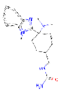 CN(C)C1(c2nc3ccccc3n2C)CCC(CNC(N)=O)CC1